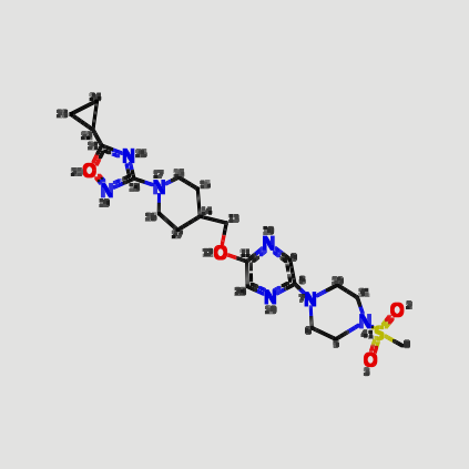 CS(=O)(=O)N1CCN(c2cnc(OCC3CCN(c4noc(C5CC5)n4)CC3)cn2)CC1